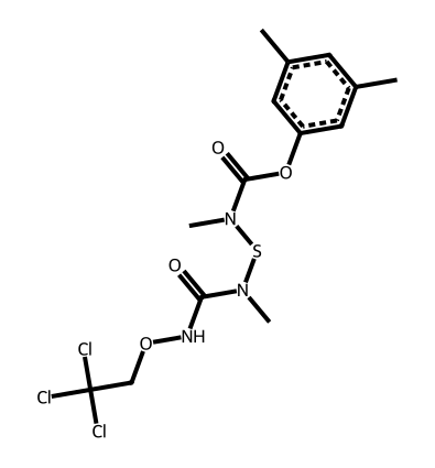 Cc1cc(C)cc(OC(=O)N(C)SN(C)C(=O)NOCC(Cl)(Cl)Cl)c1